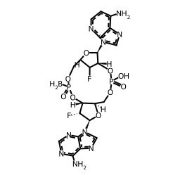 BP1(=O)OC[C@H]2O[C@@H](n3cnc4c(N)ccnc43)[C@H](OP(=O)(O)OC[C@H]3O[C@@H](n4cnc5c(N)ncnc54)[C@H](F)[C@@H]3O1)C2F